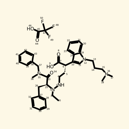 CCN(NCC[C@H](C(=O)O)c1cn(CCCN(C)C)c2ccccc12)[C@@H](Cc1ccccc1)C(=O)N(C)Cc1ccccc1.O=C(O)C(F)(F)F